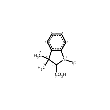 CCN1c2ccccc2C(C)(C)C1C(=O)O